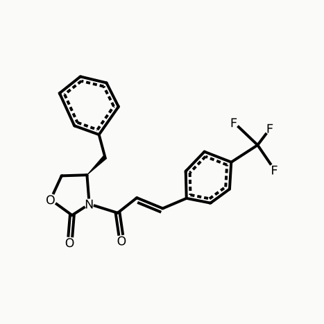 O=C(/C=C/c1ccc(C(F)(F)F)cc1)N1C(=O)OC[C@H]1Cc1ccccc1